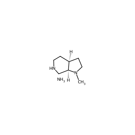 CN1CC[C@@H]2CCNC[C@@H]21.N